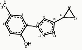 Oc1ccc(C(F)(F)F)cc1-n1cc(C2CC2)nn1